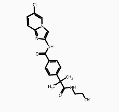 CC(C)(C(=O)NCCC#N)c1ccc(C(=O)Nc2cn3cc(Cl)ccc3n2)cc1